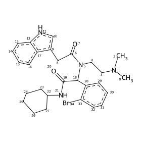 CN(C)CCN(C(=O)Cc1c[nH]c2ccccc12)C(C(=O)NC1CCCCC1)c1ccccc1Br